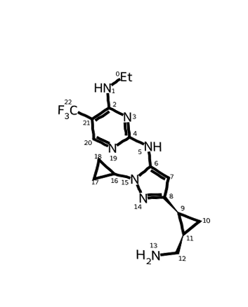 CCNc1nc(Nc2cc([C@H]3C[C@H]3CN)nn2C2CC2)ncc1C(F)(F)F